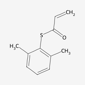 C=CC(=O)Sc1c(C)cccc1C